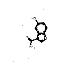 NC(=O)c1csc2ccc(O)cc12